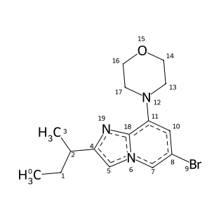 CCC(C)c1cn2cc(Br)cc(N3CCOCC3)c2n1